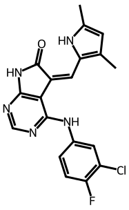 Cc1cc(C)c(C=C2C(=O)Nc3ncnc(Nc4ccc(F)c(Cl)c4)c32)[nH]1